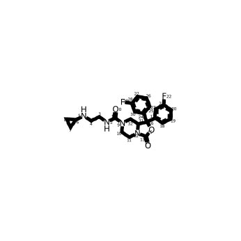 O=C(NCCNC1CC1)N1CCN2C(=O)OC(c3cccc(F)c3)(c3cccc(F)c3)C2C1